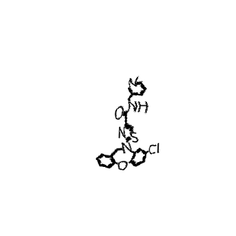 O=C(NCc1cccnc1)c1csc(N2Cc3ccccc3Oc3ccc(Cl)cc32)n1